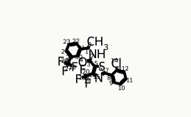 CC(NC(=O)c1sc(-c2ccccc2Cl)nc1C(F)(F)F)c1cccc(C(F)(F)F)c1